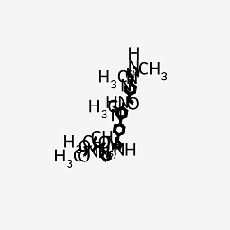 COC(=O)NC(C(=O)N1CCC[C@H]1c1nc(-c2ccc(-c3ccc(NC(=O)c4ccc(N5CC(C)NC[C@@H]5C)nc4)c(C)n3)cc2)c[nH]1)C(C)C